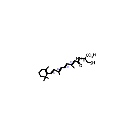 CC1=C(/C=C/C(C)=C/C=C/C(C)=C/C(=O)N[C@@H](CS)C(=O)O)C(C)(C)CCC1